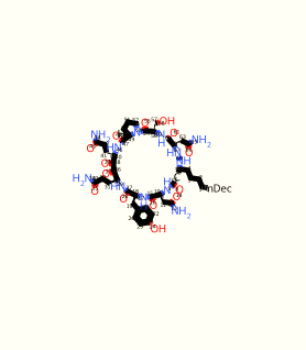 CCCCCCCCCCCCCCC1CC(=O)N[C@@H](CC(N)=O)C(=O)N[C@@H](Cc2ccc(O)cc2)C(=O)N[C@@H](CCC(N)=O)C(=O)C(=O)[C@H](CCC(N)=O)NC(=O)[C@@H]2CCCN2C(=O)[C@H](CO)NC(=O)[C@H](CC(N)=O)NN1